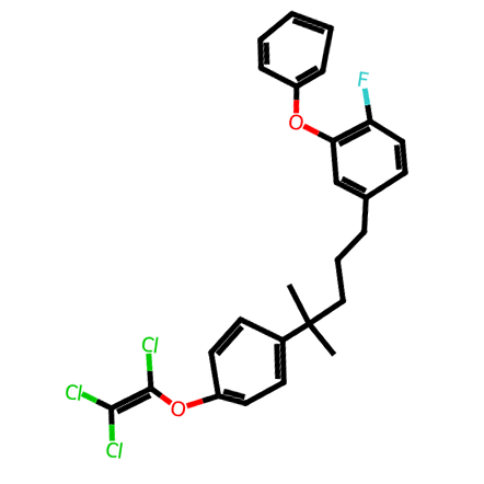 CC(C)(CCCc1ccc(F)c(Oc2ccccc2)c1)c1ccc(OC(Cl)=C(Cl)Cl)cc1